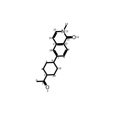 CC(=O)C1CCC(c2ccc3c(=O)n(C)ccc3c2)CC1